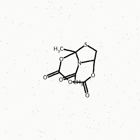 CC(=O)N1C2CSC1(C)OC(=O)OC(=O)O2